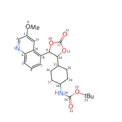 COc1cnc2cccc(C3OC(=O)OC3C3CCC(NC(=O)OC(C)(C)C)CC3)c2c1